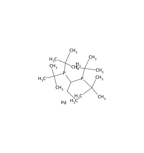 CCC(P(C(C)(C)C)C(C)(C)C)P(C(C)(C)C)C(C)(C)C.[Pd]